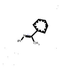 C/C(=N\C(C)C)c1ccccc1